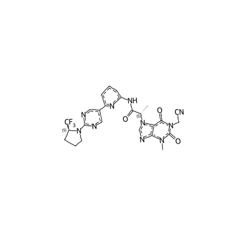 C[C@@H](C(=O)Nc1cccc(-c2cnc(N3CCC[C@H]3C(F)(F)F)nc2)n1)n1cnc2c1c(=O)n(CC#N)c(=O)n2C